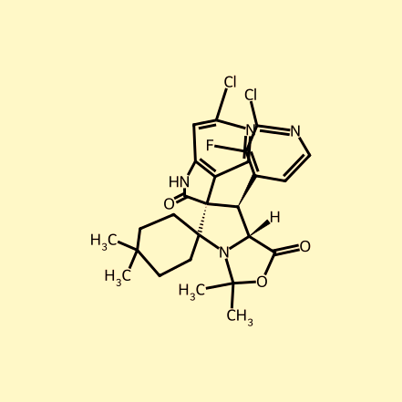 CC1(C)CCC2(CC1)N1[C@@H](C(=O)OC1(C)C)[C@H](c1ccnc(Cl)c1F)[C@]21C(=O)Nc2cc(Cl)ncc21